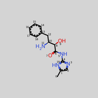 Cc1cnc(NC(=O)[C@H](O)[C@@H](N)Cc2ccccc2)[nH]1